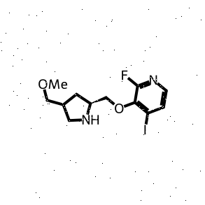 COCC1CN[C@H](COc2c(I)ccnc2F)C1